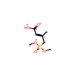 COP(=O)(CC(C)=CC(=O)O)OC